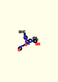 Cc1ccc(O)cc1N1CCc2c(nc(OCCCN3CCOCC3)nc2N2CCN(C=CC=O)CC2)C1